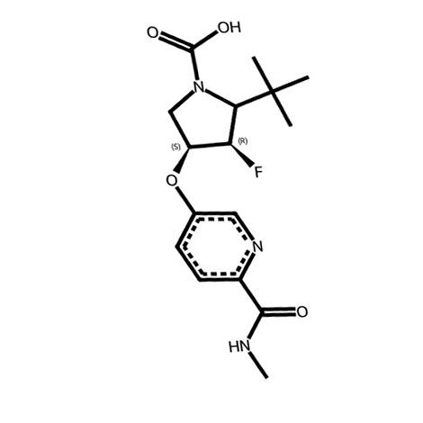 CNC(=O)c1ccc(O[C@H]2CN(C(=O)O)C(C(C)(C)C)[C@H]2F)cn1